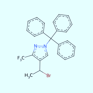 CC(Br)c1cn(C(c2ccccc2)(c2ccccc2)c2ccccc2)nc1C(F)(F)F